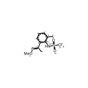 CO/N=C(\C)c1cccc(C)c1NS(=O)(=O)C(F)(F)F